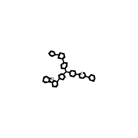 c1ccc(-c2ccc(-c3ccc(C(c4ccc(-c5cccc(-c6ccccc6)c5)cc4)c4ccc(-c5cccc6c5oc5ccccc56)cc4)cc3)cc2)cc1